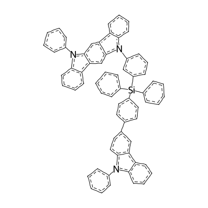 c1ccc(-n2c3ccccc3c3cc(-c4ccc([Si](c5ccccc5)(c5ccccc5)c5cccc(-n6c7ccccc7c7cc8c(cc76)c6ccccc6n8-c6ccccc6)c5)cc4)ccc32)cc1